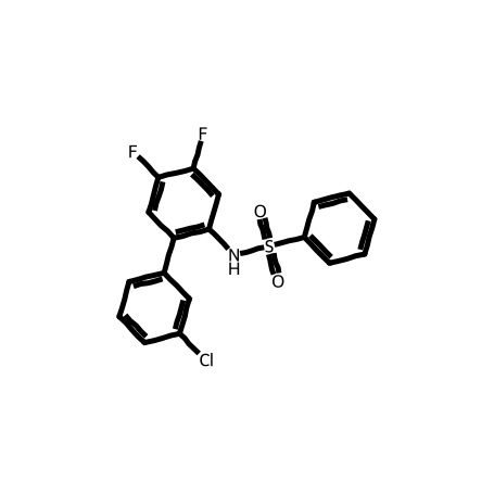 O=S(=O)(Nc1cc(F)c(F)cc1-c1cccc(Cl)c1)c1ccccc1